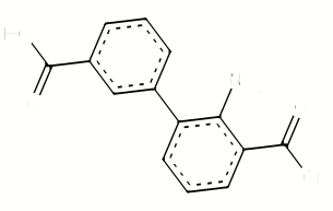 Nc1c(C(=O)O)cccc1-c1cccc(C(=O)O)c1